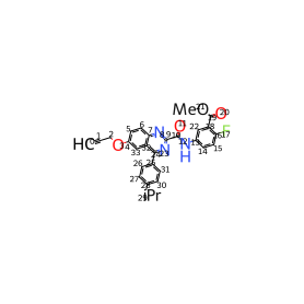 C#CCOc1ccc2nc(C(=O)Nc3ccc(F)c(C(=O)OC)c3)nc(-c3ccc(C(C)C)cc3)c2c1